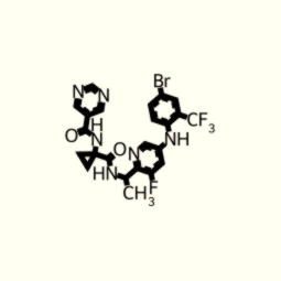 CC(NC(=O)C1(NC(=O)c2cncnc2)CC1)c1ncc(Nc2ccc(Br)cc2C(F)(F)F)cc1F